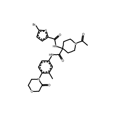 CC(=O)N1CCC(NC(=O)c2ccc(Br)s2)(C(=O)Nc2ccc(N3CCOCC3=O)c(C)c2)CC1